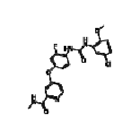 CNC(=O)c1cc(Oc2ccc(NC(=O)Nc3cc(Cl)ccc3OC)c(F)c2)ccn1